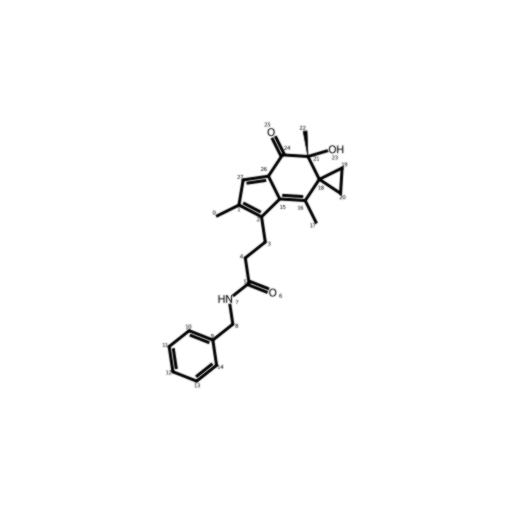 CC1=C(CCC(=O)NCc2ccccc2)C2=C(C)C3(CC3)[C@@](C)(O)C(=O)C2=C1